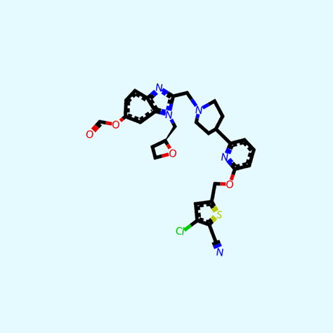 N#Cc1sc(COc2cccc(C3CCN(Cc4nc5ccc(OC=O)cc5n4C[C@@H]4CCO4)CC3)n2)cc1Cl